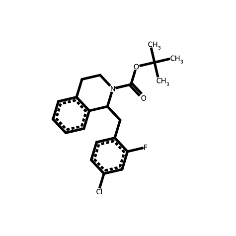 CC(C)(C)OC(=O)N1CCc2ccccc2C1Cc1ccc(Cl)cc1F